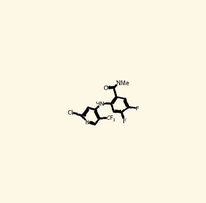 CNC(=O)c1cc(F)c(F)cc1Nc1cc(Cl)ncc1C(F)(F)F